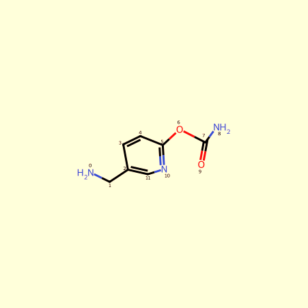 NCc1ccc(OC(N)=O)nc1